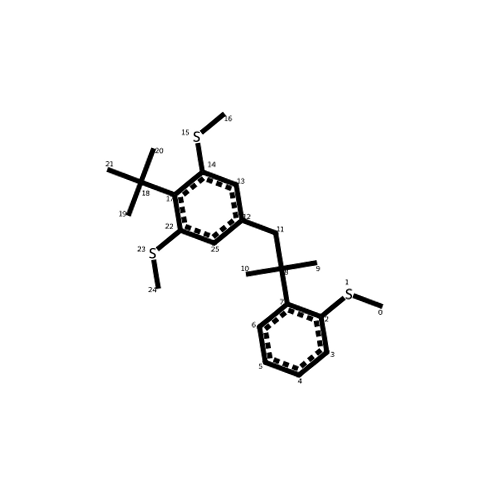 CSc1ccccc1C(C)(C)Cc1cc(SC)c(C(C)(C)C)c(SC)c1